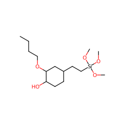 CCCCOC1CC(CC[Si](OC)(OC)OC)CCC1O